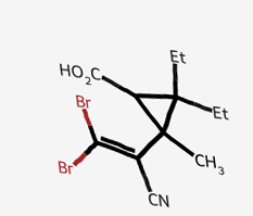 CCC1(CC)C(C(=O)O)C1(C)C(C#N)=C(Br)Br